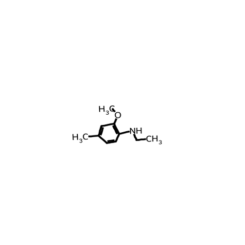 CCNc1ccc(C)cc1OC